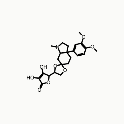 COc1ccc(C23CCN(C)C2CC2(CC3)OCC(C3OC(=O)C(O)=C3O)O2)cc1OC